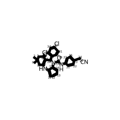 CC1(C)CC(=O)C2=C(C1)Nc1ccccc1N(C(=O)Nc1ccc(CC#N)cc1)C2c1ccc(Cl)cc1Cl